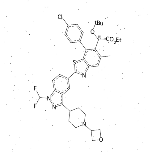 CCOC(=O)[C@@H](OC(C)(C)C)c1c(C)cc2nc(-c3ccc4c(c3)c(C3CCN(C5COC5)CC3)nn4C(F)F)sc2c1-c1ccc(Cl)cc1